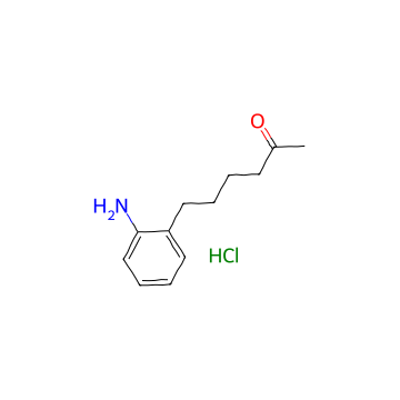 CC(=O)CCCCc1ccccc1N.Cl